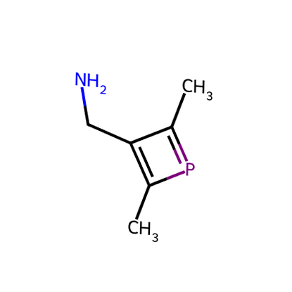 CC1=PC(C)=C1CN